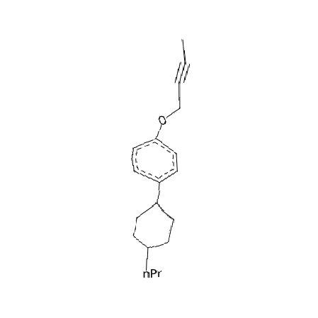 CC#CCOc1ccc(C2CCC(CCC)CC2)cc1